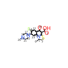 CC1CSc2c(C(=O)O)c(=O)c3cc(F)c(N4CCN(C)CC4)cc3n21